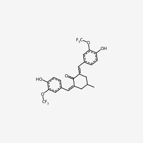 CC1CC(=Cc2ccc(O)c(OC(F)(F)F)c2)C(=O)C(=Cc2ccc(O)c(OC(F)(F)F)c2)C1